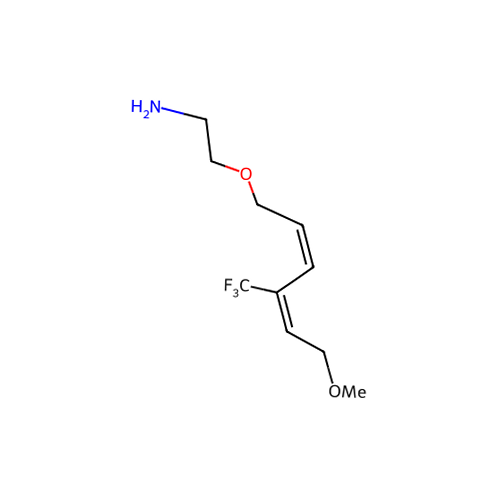 COC/C=C(\C=C/COCCN)C(F)(F)F